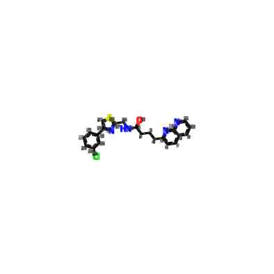 O=C(CCCc1ccc2cccnc2n1)NCc1nc(-c2cccc(Cl)c2)cs1